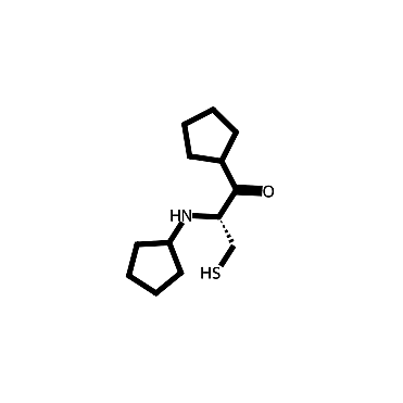 O=C(C1CCCC1)[C@H](CS)NC1CCCC1